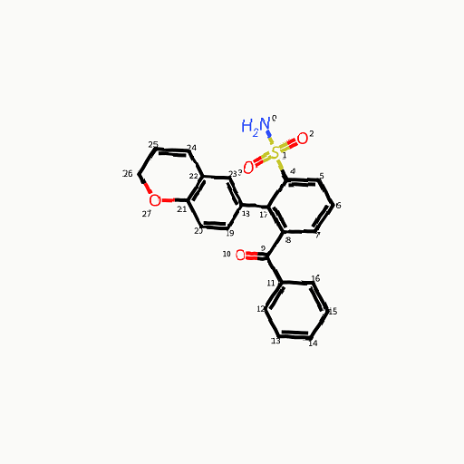 NS(=O)(=O)c1cccc(C(=O)c2ccccc2)c1-c1ccc2c(c1)C=CCO2